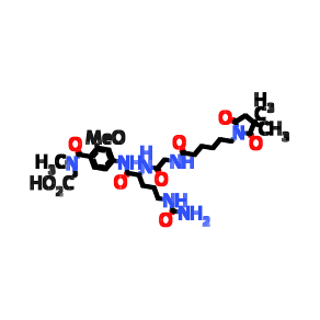 COc1cc(NC(=O)C(CCCNC(N)=O)NC(=O)CNC(=O)CCCCCN2C(=O)CC(C)(C)C2=O)ccc1C(=O)N(C)CC(=O)O